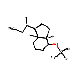 CC[Si](CC)(CC)OC1CCCC2(C)[C@@H]([C@H](C)CC=O)CC[C@@H]12